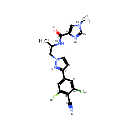 CC(Cn1ccc(-c2cc(F)c(C#N)c(Cl)c2)n1)NC(=O)c1cn(C)cn1